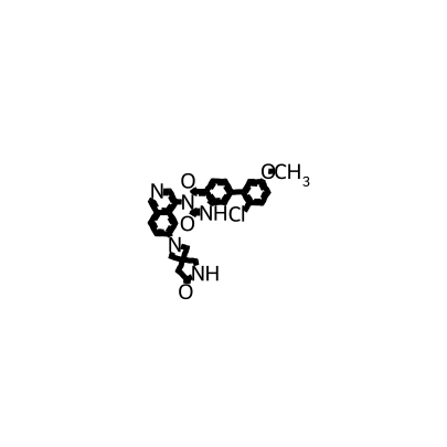 COc1ccc(Cl)c(-c2ccc3c(=O)n(-c4cncc5ccc(N6CC7(CNC(=O)C7)C6)cc45)c(=O)[nH]c3c2)c1